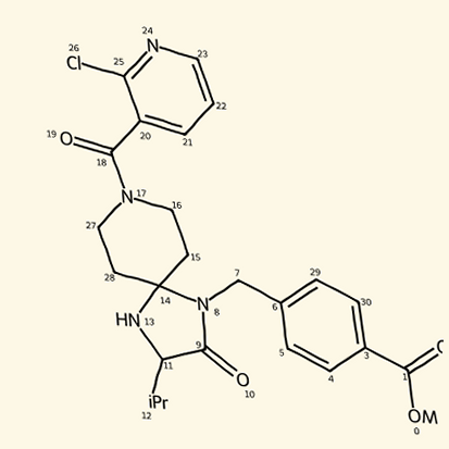 COC(=O)c1ccc(CN2C(=O)C(C(C)C)NC23CCN(C(=O)c2cccnc2Cl)CC3)cc1